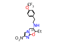 CCC1Oc2nc([N+](=O)[O-])cn2C[C@@H]1NCCc1ccc(OC(F)(F)F)cc1